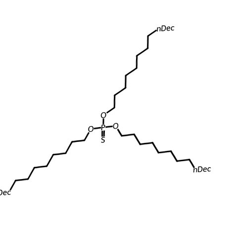 CCCCCCCCCCCCCCCCCCOP(=S)(OCCCCCCCCCCCCCCCCCC)OCCCCCCCCCCCCCCCCCC